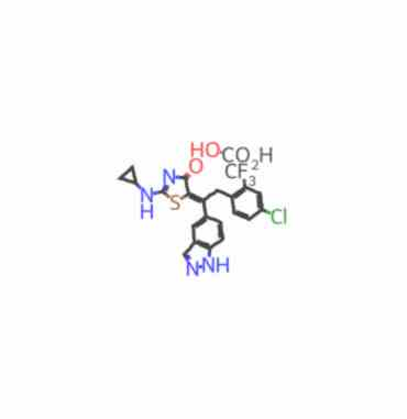 O=C(O)O.O=C1N=C(NC2CC2)SC1=C(Cc1ccc(Cl)cc1C(F)(F)F)c1ccc2[nH]ncc2c1